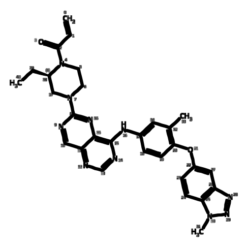 C=CC(=O)N1CCN(c2ncc3ncnc(Nc4ccc(Oc5ccc6c(c5)nnn6C)c(C)c4)c3n2)C[C@H]1CC